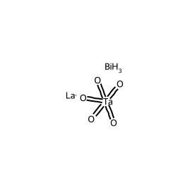 [BiH3].[La].[O]=[Ta](=[O])(=[O])(=[O])=[O]